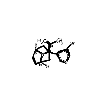 C=C(C)CN1[C@@H]2C=C[C@H]1CC(C#N)(c1cncc(Br)c1)C2